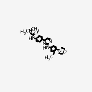 CCc1cc(Nc2nccc(-c3ccc(NC(=O)CN(C)C)cc3)n2)ccc1N1CCOCC1